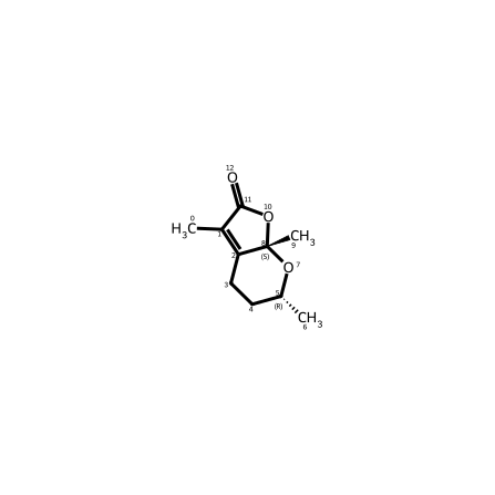 CC1=C2CC[C@@H](C)O[C@@]2(C)OC1=O